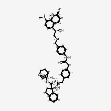 COc1ccc([C@@H](O)CNCc2ccc(NC(=O)Cc3ccc(CC(=O)NC4(C(=O)O[C@H]5CN6CCC5CC6)CCc5ccccc54)cc3)cc2)c2ccc(=O)[nH]c12